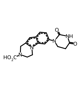 O=C1CCN(c2ccc3cc4n(c3c2)CCN(C(=O)O)C4)C(=O)N1